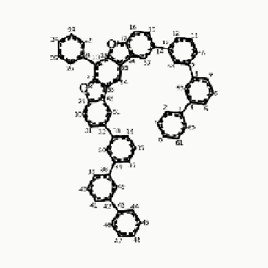 c1ccc(-c2cccc(-c3cccc(-c4ccc5oc6c(-c7ccccc7)c7oc8ccc(-c9cccc(-c%10cccc(-c%11ccccc%11)c%10)c9)cc8c7cc6c5c4)c3)c2)cc1